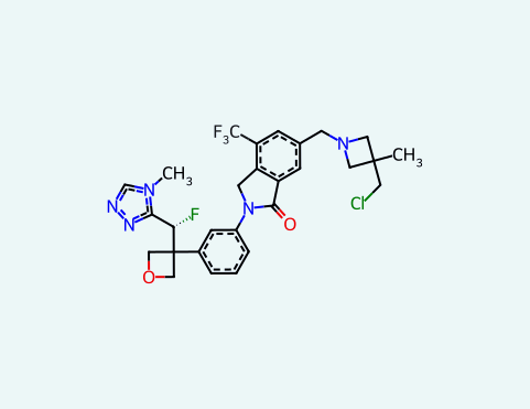 Cn1cnnc1[C@H](F)C1(c2cccc(N3Cc4c(cc(CN5CC(C)(CCl)C5)cc4C(F)(F)F)C3=O)c2)COC1